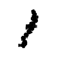 C=CC(=O)Nc1cc(Nc2nc(-c3ccnc(N4CCn5c(cc6c5CC(C)(C)C6)C4=O)c3CO)cn(C)c2=O)ccc1N1CCN(C2CCN(c3ccnc(C4CCC(C)(OP(=O)(O)O)CC4)c3)[C@@H](C)C2)C[C@@H]1C